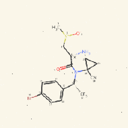 C[S+]([O-])C[C@H](N)C(=O)N([C@@H](c1ccc(Br)cc1)C(F)(F)F)C1(C#N)CC1